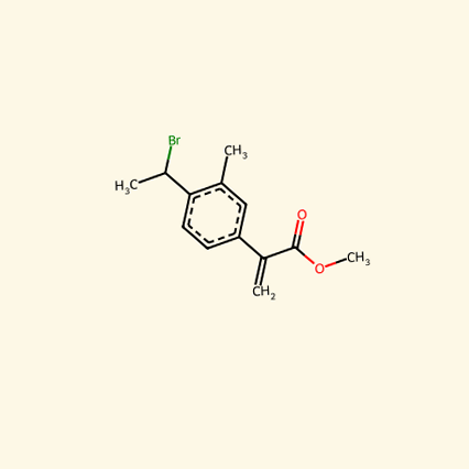 C=C(C(=O)OC)c1ccc(C(C)Br)c(C)c1